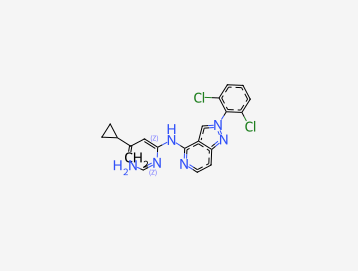 C=C(/C=C(\N=C/N)Nc1nccc2nn(-c3c(Cl)cccc3Cl)cc12)C1CC1